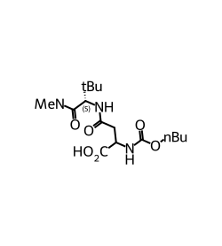 CCCCOC(=O)NC(CC(=O)N[C@H](C(=O)NC)C(C)(C)C)C(=O)O